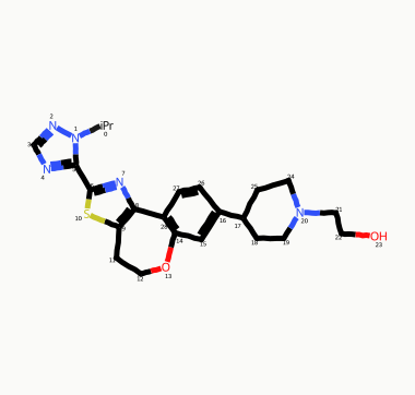 CC(C)n1ncnc1-c1nc2c(s1)CCOc1cc(C3CCN(CCO)CC3)ccc1-2